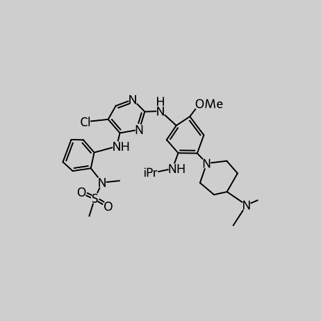 COc1cc(N2CCC(N(C)C)CC2)c(NC(C)C)cc1Nc1ncc(Cl)c(Nc2ccccc2N(C)S(C)(=O)=O)n1